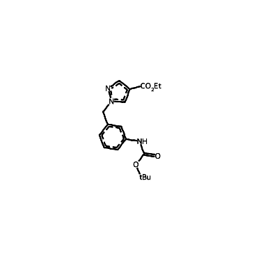 CCOC(=O)c1cnn(Cc2cccc(NC(=O)OC(C)(C)C)c2)c1